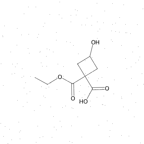 CCOC(=O)C1(C(=O)O)CC(O)C1